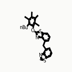 CCCCc1c(C)c(C)c(C)c(C)c1Oc1nc2c(Cc3cccc4s[c]nc34)cccc2s1